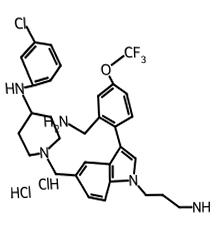 Cl.Cl.NCCCn1cc(-c2ccc(OC(F)(F)F)cc2CN)c2cc(CN3CCC(Nc4cccc(Cl)c4)CC3)ccc21